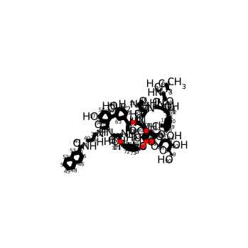 CN[C@H](CC(C)C)C(=O)N[C@H]1C(=O)N[C@@H](CC(N)=O)C(=O)NC2C(=O)N[C@H]3C(=O)N[C@H](C(=O)NC(C(=O)NCCCNC(=O)c4ccc5ccccc5c4)c4cc(O)cc(O)c4-c4cc3ccc4O)[C@H](O)c3ccc(c(Cl)c3)Oc3cc2cc(c3O[C@@H]2O[C@H](CO)[C@@H](O)[C@H](O)[C@H]2OC2C[C@](C)(N)[C@H](O)[C@H](C)O2)Oc2ccc(cc2Cl)[C@H]1O